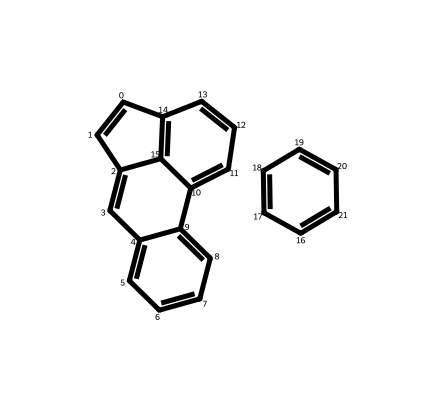 C1=Cc2cc3ccccc3c3cccc1c23.c1ccccc1